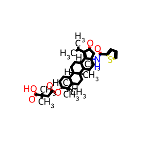 CC(C)C1=C2[C@H]3CC[C@@H]4[C@@]5(C)CC[C@H](OC(=O)CC(C)(C)C(=O)O)C(C)(C)[C@@H]5CC[C@@]4(C)[C@]3(C)CC[C@@]2(NC(=O)c2cccs2)CC1=O